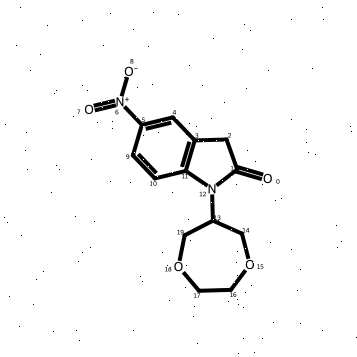 O=C1Cc2cc([N+](=O)[O-])ccc2N1C1COCCOC1